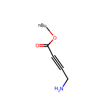 CCCCOC(=O)C#CCN